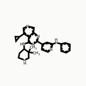 CC1(C)CNCCC1Nc1nc(-c2ccnc(Nc3ccccc3)c2)nc2cncc(C3CC3)c12